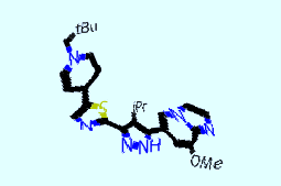 COc1cc(-c2[nH]nc(-c3ncc(C4CCN(CC(C)(C)C)CC4)s3)c2C(C)C)cn2ccnc12